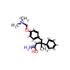 CN(C)COc1ccc(CC(C)(C[C@H](N)O)c2ccccc2)cc1